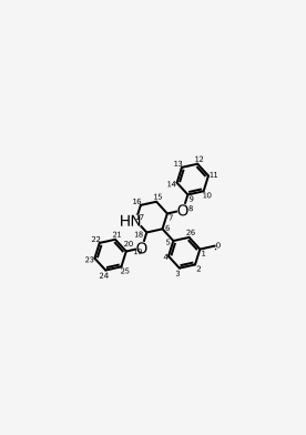 [CH2]c1cccc(C2C(Oc3ccccc3)CCNC2Oc2ccccc2)c1